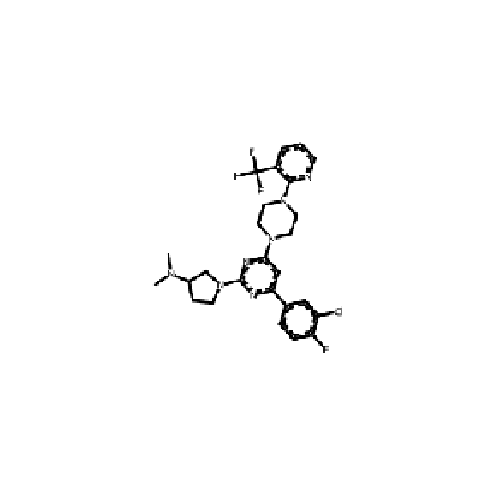 CN(C)C1CCN(c2nc(-c3ccc(F)c(Cl)c3)cc(N3CCN(c4ncccc4C(F)(F)F)CC3)n2)C1